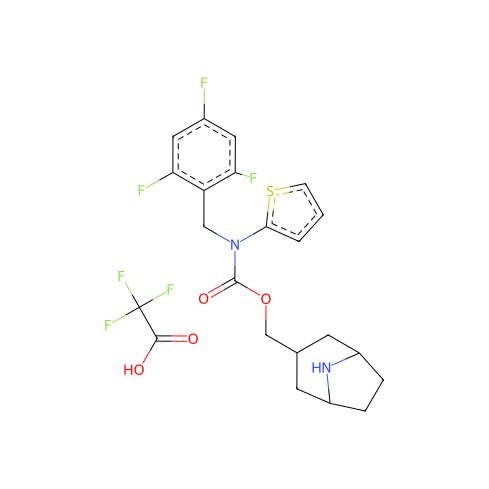 O=C(O)C(F)(F)F.O=C(OCC1CC2CCC(C1)N2)N(Cc1c(F)cc(F)cc1F)c1cccs1